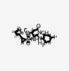 COc1cc(=O)n(C)c(Nc2ccc(I)cc2F)c1NS(=O)(=O)C1CC1c1cccs1